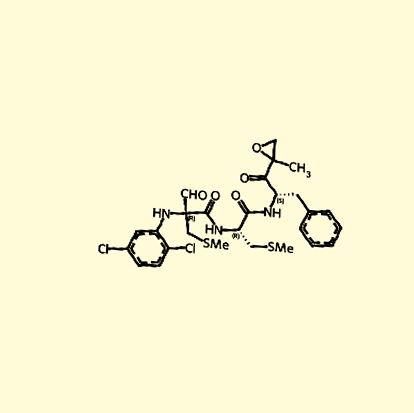 CSC[C@H](NC(=O)[C@](C=O)(CSC)Nc1cc(Cl)ccc1Cl)C(=O)N[C@@H](Cc1ccccc1)C(=O)C1(C)CO1